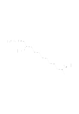 CCCCCCCCCC(O)CCCCCCCCC(C)O